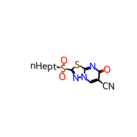 CCCCCCCS(=O)(=O)c1nn2cc(C#N)c(=O)nc2s1